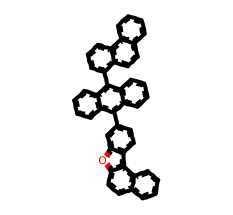 c1ccc2c(c1)ccc1c(-c3c4ccccc4c(-c4ccc5c(c4)oc4ccc6ccccc6c45)c4ccccc34)cccc12